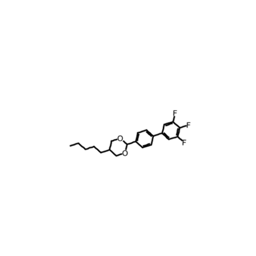 CCCCCC1COC(c2ccc(-c3cc(F)c(F)c(F)c3)cc2)OC1